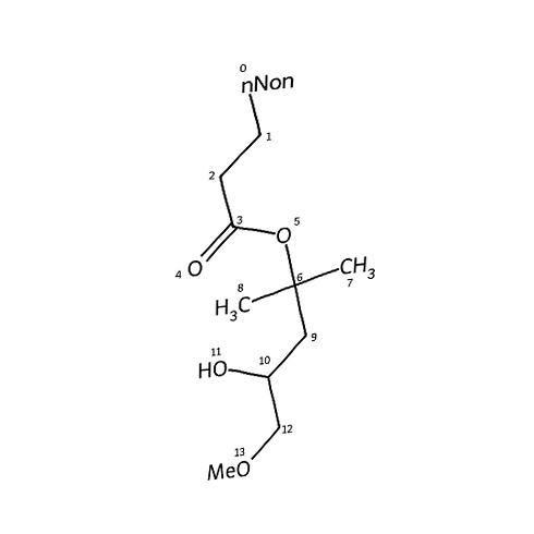 CCCCCCCCCCCC(=O)OC(C)(C)CC(O)COC